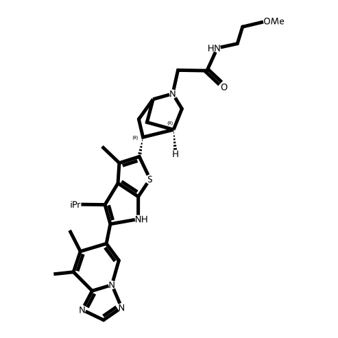 COCCNC(=O)CN1C[C@@H]2CC1C[C@H]2c1sc2[nH]c(-c3cn4ncnc4c(C)c3C)c(C(C)C)c2c1C